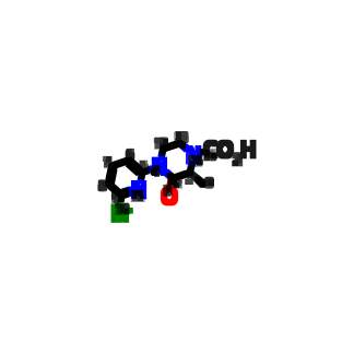 C[C@H]1C(=O)N(c2cccc(Br)n2)CCN1C(=O)O